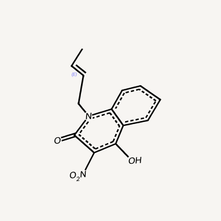 C/C=C/Cn1c(=O)c([N+](=O)[O-])c(O)c2ccccc21